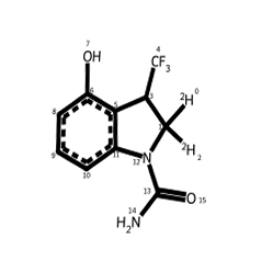 [2H]C1([2H])C(C(F)(F)F)c2c(O)cccc2N1C(N)=O